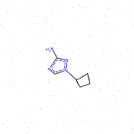 Nc1ncn(C2CCC2)n1